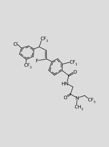 CN(CC(F)(F)F)C(=O)CNC(=O)c1ccc(C(F)=CC(c2cc(Cl)cc(C(F)(F)F)c2)C(F)(F)F)cc1C(F)(F)F